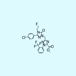 COC(=O)c1nc(Cn2nc(-c3ccc(Cl)cc3)n(CCF)c2=O)nn1-c1ccccc1C(F)(F)F